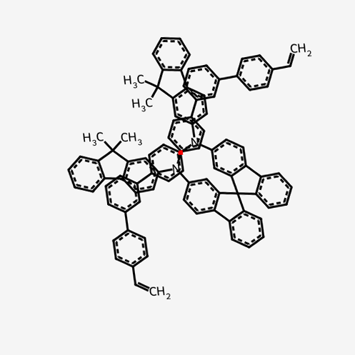 C=Cc1ccc(-c2cccc(-c3ccc(N(c4ccc5c(c4)C(C)(C)c4ccccc4-5)c4ccc5c(c4)C4(c6ccccc6-5)c5ccccc5-c5ccc(N(c6ccc(-c7cccc(-c8ccc(C=C)cc8)c7)cc6)c6ccc7c(c6)C(C)(C)c6ccccc6-7)cc54)cc3)c2)cc1